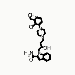 CCc1cccc(N2CCN(CCC(O)Cn3c(C(N)=O)cc4ccccc43)CC2)c1Cl